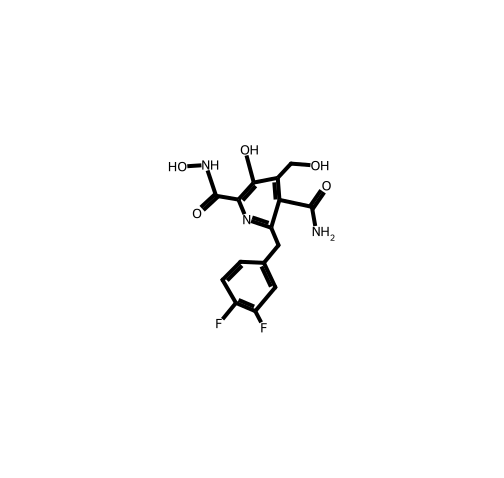 NC(=O)c1c(Cc2ccc(F)c(F)c2)nc(C(=O)NO)c(O)c1CO